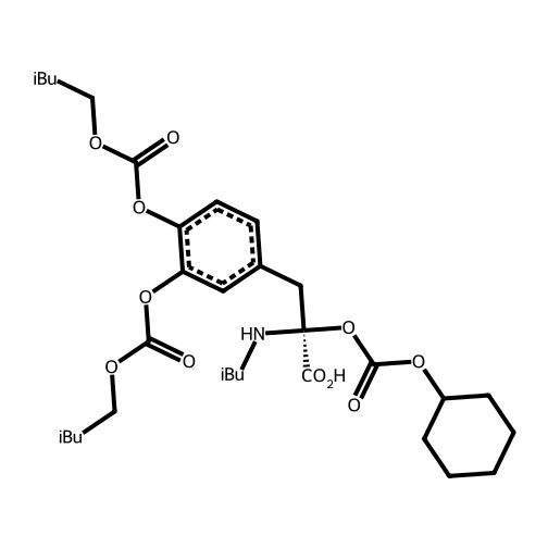 CCC(C)COC(=O)Oc1ccc(C[C@](NC(C)CC)(OC(=O)OC2CCCCC2)C(=O)O)cc1OC(=O)OCC(C)CC